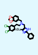 CCCCc1nc(-c2ccccc2)[nH]c1CN(CCc1ccc(Cl)c(Cl)c1)Cc1ccc2c(c1)OCO2